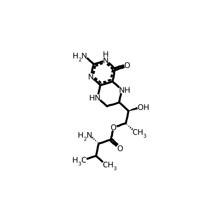 CC(C)[C@H](N)C(=O)O[C@@H](C)[C@H](O)C1CNc2nc(N)[nH]c(=O)c2N1